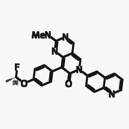 CNc1ncc2cn(-c3ccc4ncccc4c3)c(=O)c(-c3ccc(O[C@H](C)F)cc3)c2n1